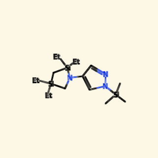 CC[Si]1(CC)CN(c2cnn([Si](C)(C)C)c2)[Si](CC)(CC)C1